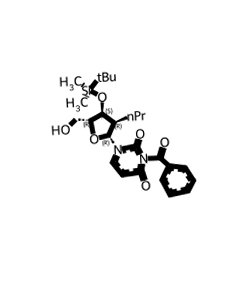 CCC[C@@H]1[C@H](O[Si](C)(C)C(C)(C)C)[C@@H](CO)O[C@H]1n1ccc(=O)n(C(=O)c2ccccc2)c1=O